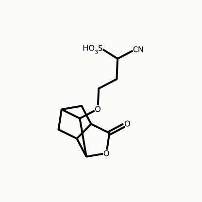 N#CC(CCOC1C2CC3C(=O)OC1C3C2)S(=O)(=O)O